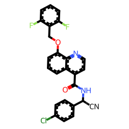 N#CC(NC(=O)c1ccnc2c(OCc3c(F)cccc3F)cccc12)c1ccc(Cl)cc1